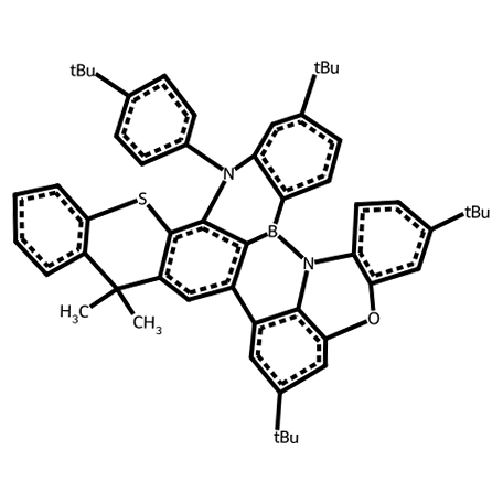 CC(C)(C)c1ccc(N2c3cc(C(C)(C)C)ccc3B3c4c(cc5c(c42)Sc2ccccc2C5(C)C)-c2cc(C(C)(C)C)cc4c2N3c2ccc(C(C)(C)C)cc2O4)cc1